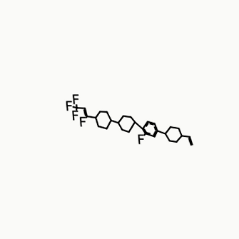 C=CC1CCC(c2ccc(C3CCC(C4CCC(/C(F)=C/C(F)(F)F)CC4)CC3)c(F)c2)CC1